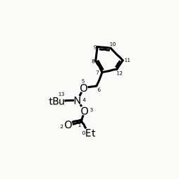 CCC(=O)ON(OCc1ccccc1)C(C)(C)C